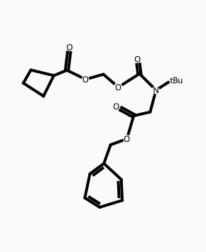 CC(C)(C)N(CC(=O)OCc1ccccc1)C(=O)OCOC(=O)C1CCC1